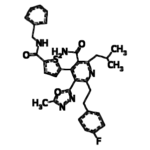 Cc1nnc(-c2c(CCc3ccc(F)cc3)nc(CC(C)C)c(C(N)=O)c2-c2ccc(C(=O)NCc3ccccc3)s2)o1